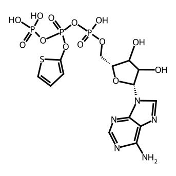 Nc1ncnc2c1ncn2[C@@H]1O[C@H](COP(=O)(O)OP(=O)(Oc2cccs2)OP(=O)(O)O)C(O)C1O